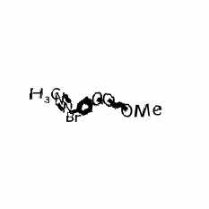 COCCOCOc1ccc(C(Br)N2CCN(C)CC2)cc1